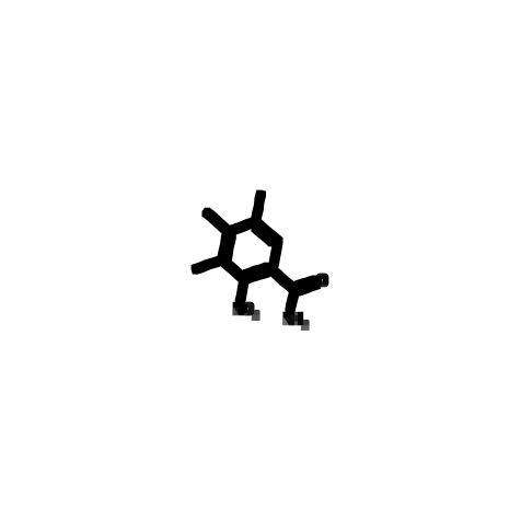 Cc1cc(C(N)=O)c([N+](=O)[O-])c(C)c1C